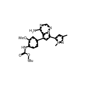 COc1cc(-c2cc(-c3cc(C)nn3C)n3ncnc(N)c23)ccc1NC(=O)OC(C)(C)C